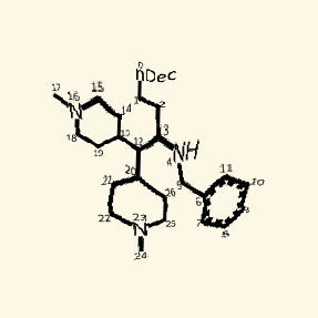 CCCCCCCCCCCCC(NCc1ccccc1)C(C1CCN(C)CC1)C1CCN(C)CC1